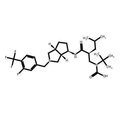 CC(C)C[C@@H](CN(C(=O)O)C(C)(C)C)C(=O)N[C@@H]1CC[C@H]2CN(Cc3ccc(C(F)(F)F)c(F)c3)C[C@H]21